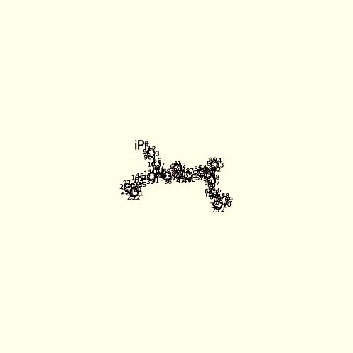 CC(C)c1ccc(-c2ccc3c(c2)c2cc(-c4ccc5c(c4)-c4cccc6cccc-5c46)ccc2n3-c2cccc(-c3cccc4c3C(C)(C)c3ccc(-c5ccc6c(c5)c5cc(-c7ccc8c(c7)-c7cccc9cccc-8c79)ccc5n6-c5ccccc5)cc3-4)c2)cc1